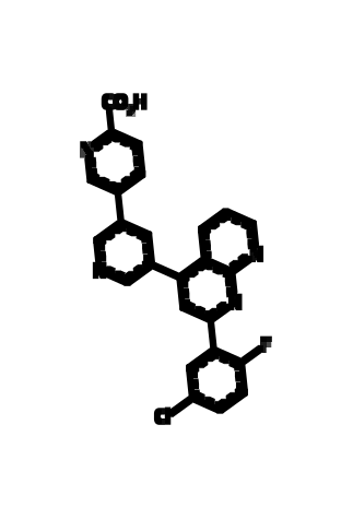 O=C(O)c1ccc(-c2cncc(-c3cc(-c4cc(Cl)ccc4F)nc4ncccc34)c2)cn1